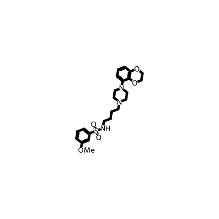 COc1cccc(S(=O)(=O)NCCCCN2CCN(c3cccc4c3OCCO4)CC2)c1